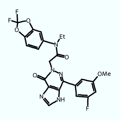 CCN(C(=O)Cn1nc(-c2cc(F)cc(OC)c2)c2[nH]cnc2c1=O)c1ccc2c(c1)OC(F)(F)O2